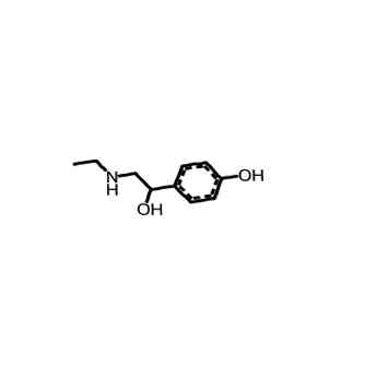 CCNCC(O)c1ccc(O)cc1